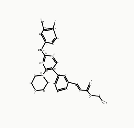 CCOC(=O)C=Cc1cccc(-c2cnc(Nc3ccc(F)c(Br)c3)nc2N2CCOCC2)c1